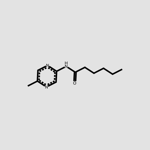 CCCCCC(=O)Nc1cnc(C)cn1